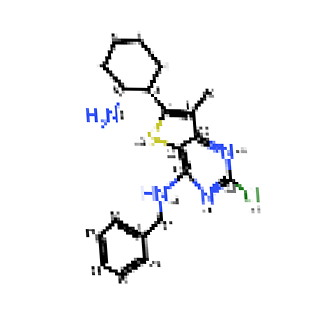 Cc1c([C@@H]2CCCC[C@H]2N)sc2c(NCc3ccccc3)nc(Cl)nc12